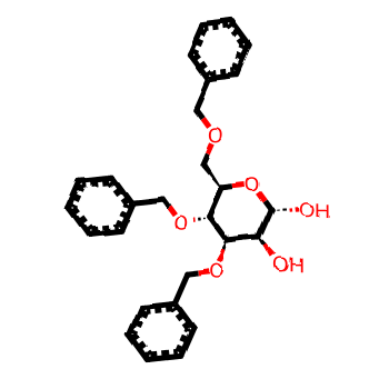 O[C@H]1[C@@H](OCc2ccccc2)[C@H](OCc2ccccc2)[C@@H](COCc2ccccc2)O[C@@H]1O